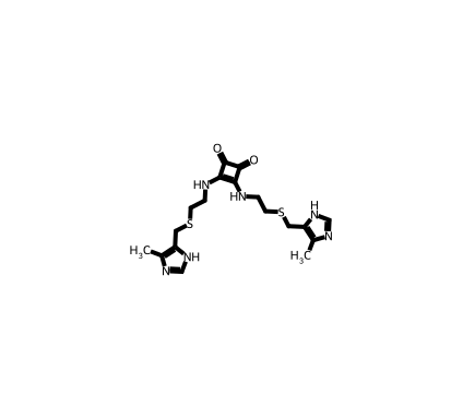 Cc1nc[nH]c1CSCCNc1c(NCCSCc2[nH]cnc2C)c(=O)c1=O